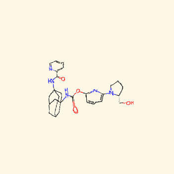 O=C(NC12CC3CC(C1)CC(NC(=O)c1ccccn1)(C3)C2)Oc1cccc(N2CCC[C@@H]2CO)n1